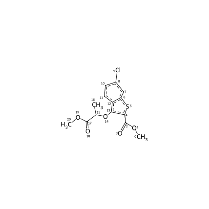 COC(=O)c1sc2cc(Cl)ccc2c1OC(C)C(=O)OC